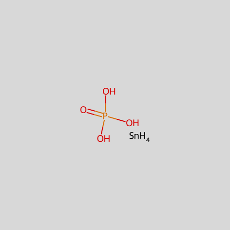 O=P(O)(O)O.[SnH4]